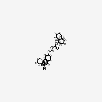 O=C(OCOc1ccc2c(c1)[C@]13CCCC[C@@H]1[C@H](C2)NCC3)OC1CCC[C@H]2CCCC[C@@H]12